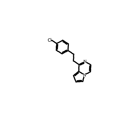 Clc1ccc(CCc2nccn3cccc23)cc1